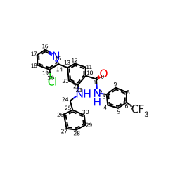 O=C(Nc1ccc(C(F)(F)F)cc1)c1ccc(-c2ncccc2Cl)cc1NCc1ccccc1